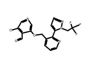 O=Cc1c(Cl)cncc1OCc1cccnc1-c1ccnn1CC(F)(F)F